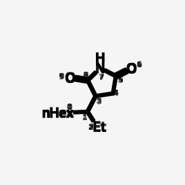 CCCCCCC(CC)C1CC(=O)NC1=O